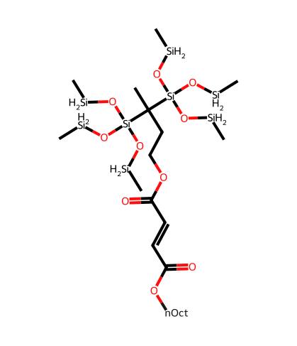 CCCCCCCCOC(=O)/C=C/C(=O)OCCC(C)([Si](O[SiH2]C)(O[SiH2]C)O[SiH2]C)[Si](O[SiH2]C)(O[SiH2]C)O[SiH2]C